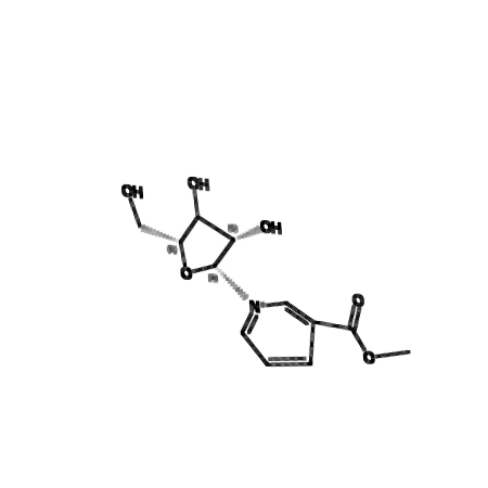 COC(=O)c1ccc[n+]([C@@H]2O[C@H](CO)C(O)[C@@H]2O)c1